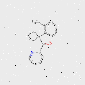 O=C(c1ccccn1)C1(c2ccccc2C(F)(F)F)CCC1